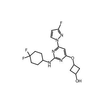 OC1CC(Oc2cc(-n3ccc(F)n3)nc(NC3CCC(F)(F)CC3)n2)C1